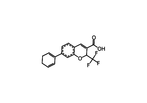 O=C(O)C1=Cc2ccc(C3=CCCC=C3)cc2OC1C(F)(F)F